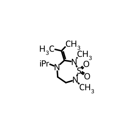 CC(C)=C1N(C(C)C)CCN(C)S(=O)(=O)N1C